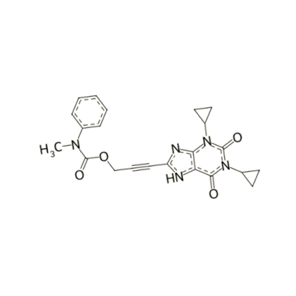 CN(C(=O)OCC#Cc1nc2c([nH]1)c(=O)n(C1CC1)c(=O)n2C1CC1)c1ccccc1